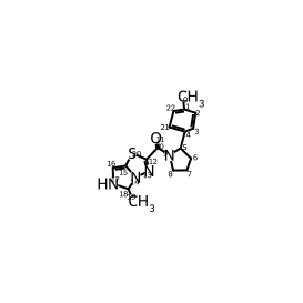 Cc1ccc(C2CCCN2C(=O)C2=NN3C(=CNC3C)S2)cc1